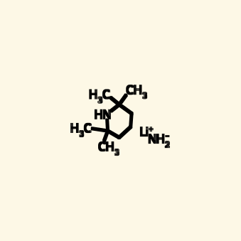 CC1(C)CCCC(C)(C)N1.[Li+].[NH2-]